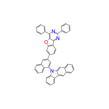 c1ccc(-c2nc(-c3ccccc3)c3oc4cc(-c5cc(-n6c7ccccc7c7cc8ccccc8cc76)c6ccccc6c5)ccc4c3n2)cc1